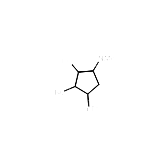 CCCC1CC(NC)C(C)C1C(C)(C)C